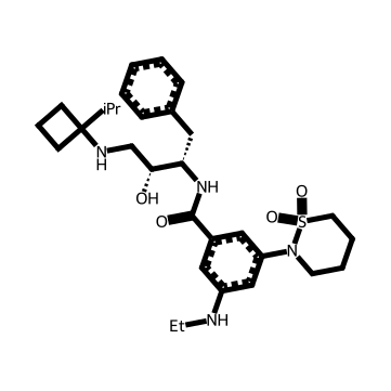 CCNc1cc(C(=O)N[C@@H](Cc2ccccc2)[C@H](O)CNC2(C(C)C)CCC2)cc(N2CCCCS2(=O)=O)c1